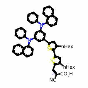 CCCCCCc1cc(-c2sc(-c3cc(N(c4ccccc4)c4cccc5ccccc45)cc(N(c4ccccc4)c4cccc5ccccc45)c3)cc2CCCCCC)sc1/C=C(/C#N)C(=O)O